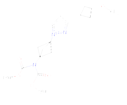 CC(C)(C)OC(=O)N(C(=O)OC(C)(C)C)C12CC(n3ccc([C@H]4C[C@@H](OC(F)(F)F)C4)n3)(C1)C2